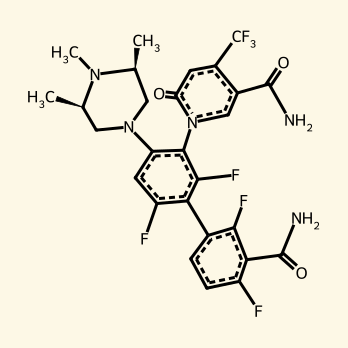 C[C@@H]1CN(c2cc(F)c(-c3ccc(F)c(C(N)=O)c3F)c(F)c2-n2cc(C(N)=O)c(C(F)(F)F)cc2=O)C[C@H](C)N1C